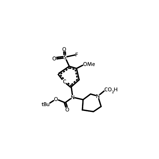 COc1cc(N(C(=O)OC(C)(C)C)C2CCCN(C(=O)O)C2)ccc1S(=O)(=O)F